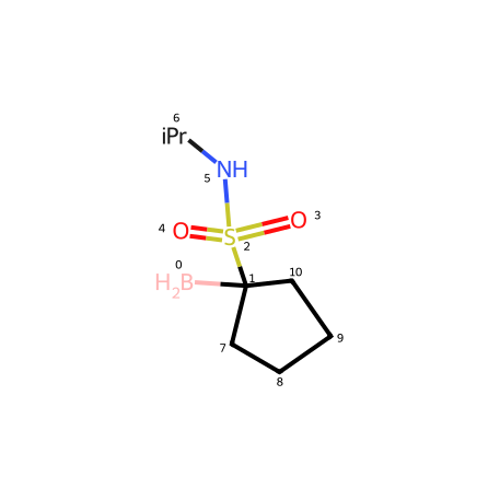 BC1(S(=O)(=O)NC(C)C)CCCC1